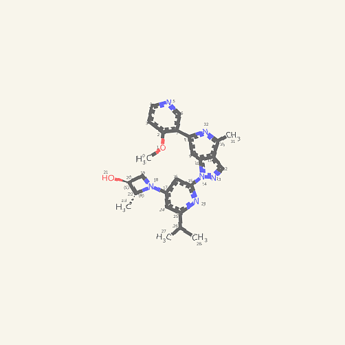 COc1ccncc1-c1cc2c(cnn2-c2cc(N3C[C@H](O)[C@H]3C)cc(C(C)C)n2)c(C)n1